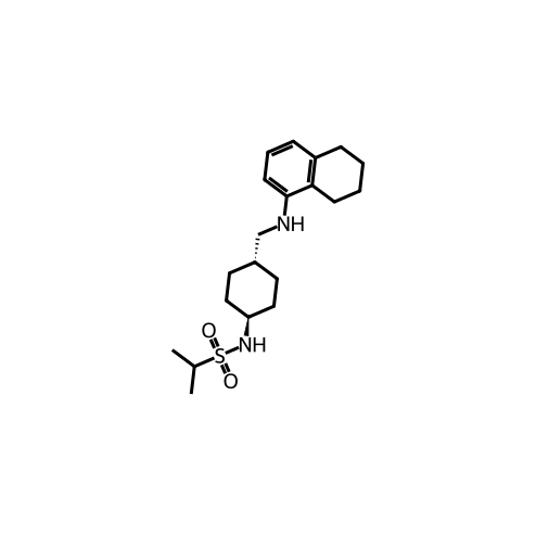 CC(C)S(=O)(=O)N[C@H]1CC[C@H](CNc2cccc3c2CCCC3)CC1